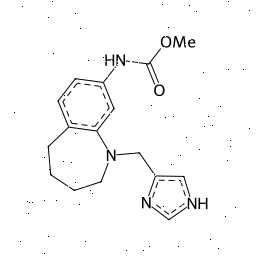 COC(=O)Nc1ccc2c(c1)N(Cc1c[nH]cn1)CCCC2